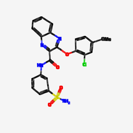 COc1ccc(Oc2nc3ccccc3nc2C(=O)Nc2cccc(S(N)(=O)=O)c2)c(Cl)c1